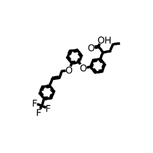 CCCC(C(=O)O)c1cccc(Oc2ccccc2OCC=Cc2ccc(C(F)(F)F)cc2)c1